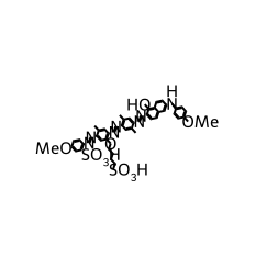 COc1ccc(Nc2ccc3c(O)c(N=Nc4cc(C)c(N=Nc5cc(C)c(N=Nc6ccc(OC)cc6S(=O)(=O)O)cc5OCCCCS(=O)(=O)O)cc4C)ccc3c2)cc1